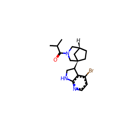 CC(C)C(=O)N1C[C@@H]2CC[C@@](C3CNc4nccc(Br)c43)(C2)C1